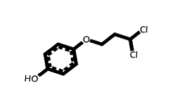 Oc1ccc(OCCC(Cl)Cl)cc1